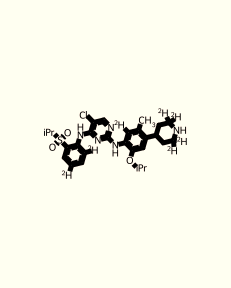 [2H]c1cc([2H])c(Nc2nc(Nc3c(OC(C)C)cc(C4CC([2H])([2H])NC([2H])([2H])C4)c(C)c3[2H])ncc2Cl)c(S(=O)(=O)C(C)C)c1